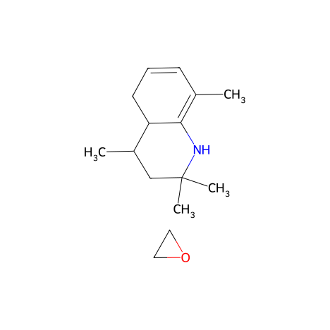 C1CO1.CC1=C2NC(C)(C)CC(C)C2CC=C1